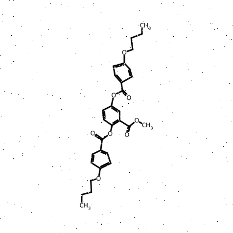 CCCCOc1ccc(C(=O)Oc2ccc(OC(=O)c3ccc(OCCCC)cc3)c(C(=O)OC)c2)cc1